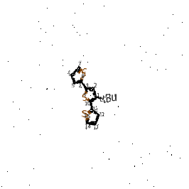 CC(C)(C)c1cc(-c2cccs2)sc1-c1cccs1